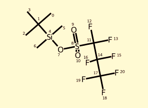 CC(C)(C)[Si](C)(C)OS(=O)(=O)C(F)(F)C(F)(F)C(F)(F)F